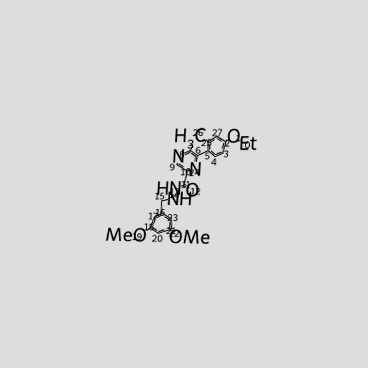 CCOc1ccc(-c2cncc(C(=O)NNCc3cc(OC)cc(OC)c3)n2)c(C)c1